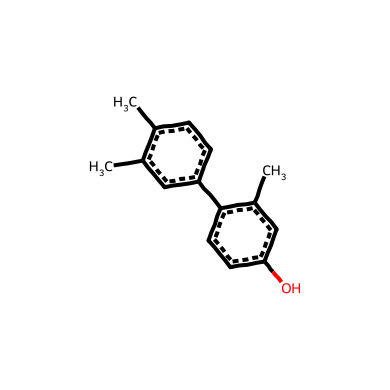 Cc1ccc(-c2ccc(O)cc2C)cc1C